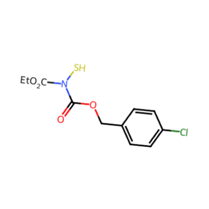 CCOC(=O)N(S)C(=O)OCc1ccc(Cl)cc1